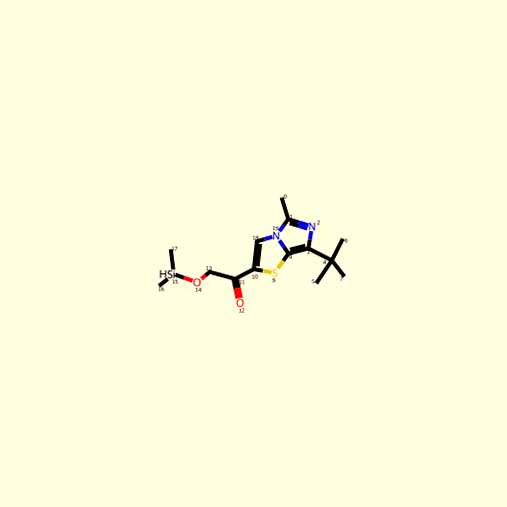 Cc1nc(C(C)(C)C)c2sc(C(=O)CO[SiH](C)C)cn12